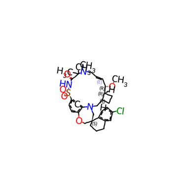 CO[C@H]1/C=C/CN(C)C(C)(C)C(=O)NS(=O)(=O)c2ccc3c(c2)N(C[C@@H]2CC[C@H]21)C[C@@]1(CCCc2cc(Cl)ccc21)CO3